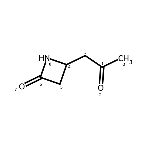 CC(=O)CC1CC(=O)N1